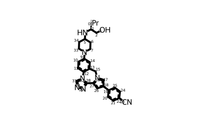 CC(C)[C@@H](CO)NC1CCN(c2ccc3c(c2)Cn2cc(-c4ccc(C#N)cc4)cc2-c2nncn2-3)CC1